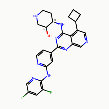 O[C@H]1CNCC[C@H]1Nc1nc(-c2ccnc(Nc3ncc(F)cc3F)c2)nc2cncc(C3CCC3)c12